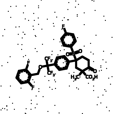 CC1(C(=O)O)CC(c2ccc(C(OCc3c(F)cccc3F)(C(F)(F)F)C(F)(F)F)cc2)(S(=O)(=O)c2ccc(F)cc2)CCC1=O